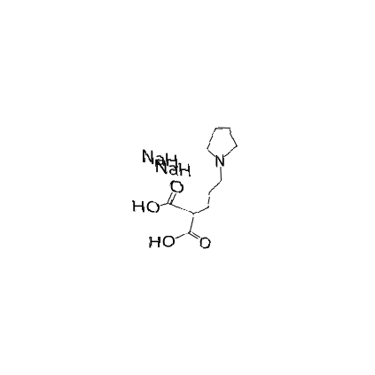 O=C(O)C(CCCN1CCCC1)C(=O)O.[NaH].[NaH]